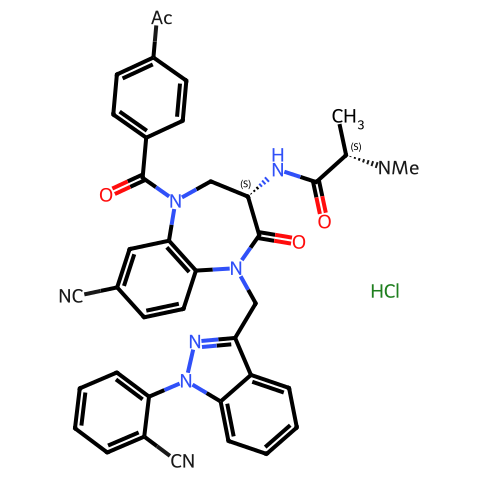 CN[C@@H](C)C(=O)N[C@H]1CN(C(=O)c2ccc(C(C)=O)cc2)c2cc(C#N)ccc2N(Cc2nn(-c3ccccc3C#N)c3ccccc23)C1=O.Cl